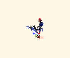 CC(C)(O)[C@H](F)CNC(=O)c1cnc(-c2ccc3cc(C#N)cnn23)cc1NC1CCC(n2cc(C3COC3)nn2)CC1